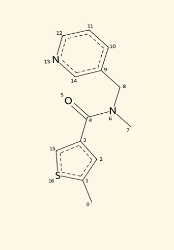 Cc1cc(C(=O)N(C)Cc2cccnc2)cs1